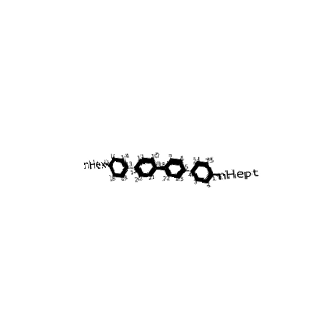 CCCCCCC[C@H]1CC[C@H](c2ccc(-c3ccc([C@H]4CC[C@H](CCCCCC)CC4)cc3)cc2)CC1